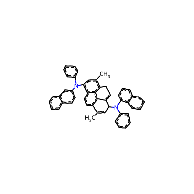 CC1=CC(N(c2ccccc2)c2cccc3ccccc23)C2=CCc3c(C)cc(N(c4ccccc4)c4ccc5ccccc5c4)c4ccc1c2c34